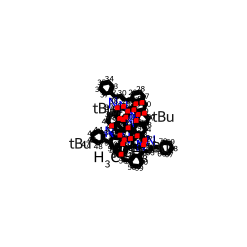 CC(C)C1=CCc2cc(C(C)(C)C)ccc2N1c1ccccc1-c1cc(-c2nc(-c3ccccc3)cc(-c3ccccc3)n2)ccc1-n1c2ccc(C(C)(C)C)cc2c2cc(C(C)(C)Cc3cccc(-c4cc(-c5ccccc5)nc(-c5ccc(-n6c7ccccc7c7cc(C(C)(C)C)ccc76)c(-c6ccccc6-n6c7ccccc7c7cc(C(C)(C)C)ccc76)c5)n4)c3)ccc21